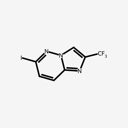 FC(F)(F)c1cn2nc(I)ccc2n1